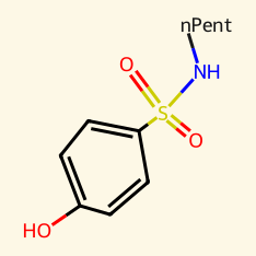 CCCCCNS(=O)(=O)c1ccc(O)cc1